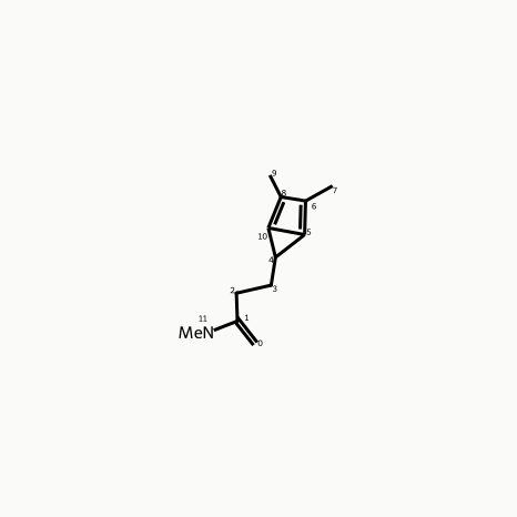 C=C(CCC1C2=C(C)C(C)=C21)NC